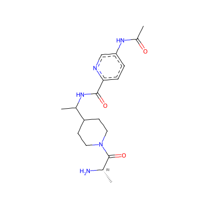 CC(=O)Nc1ccc(C(=O)NC(C)C2CCN(C(=O)[C@H](C)N)CC2)nc1